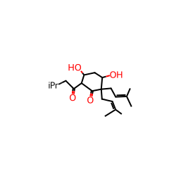 CC(C)=CCC1(CC=C(C)C)C(=O)C(C(=O)CC(C)C)C(O)CC1O